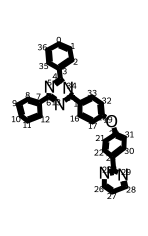 c1ccc(-c2nc(-c3ccccc3)nc(-c3ccc(Oc4ccc(-c5ncccn5)cc4)cc3)n2)cc1